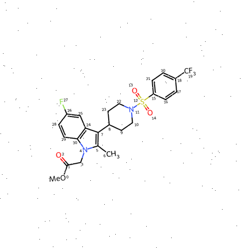 COC(=O)Cn1c(C)c(C2CCN(S(=O)(=O)c3ccc(C(F)(F)F)cc3)CC2)c2cc(F)ccc21